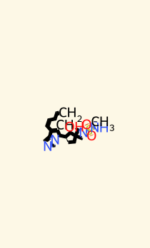 C=CC/C=C\C1=C(C)[C@@H]([C@H]2CCC3(CN(S(=O)(=O)NC)C3)[C@@H]2O)n2cncc21